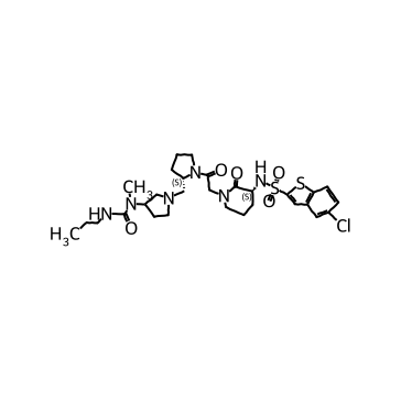 CCCNC(=O)N(C)C1CCN(C[C@@H]2CCCN2C(=O)CN2CCC[C@H](NS(=O)(=O)c3cc4cc(Cl)ccc4s3)C2=O)C1